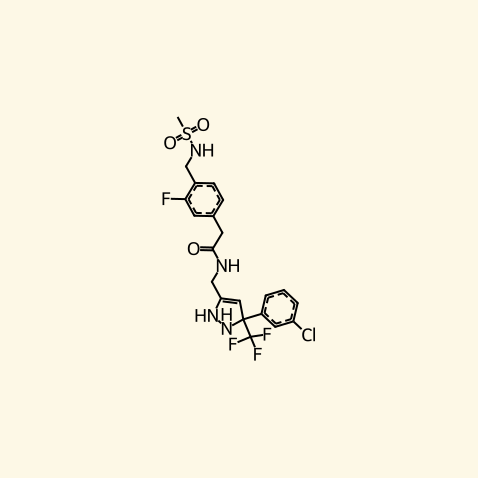 CS(=O)(=O)NCc1ccc(CC(=O)NCC2=CC(c3cccc(Cl)c3)(C(F)(F)F)NN2)cc1F